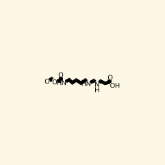 O=COC(=O)NCCCCCNCNCCC(=O)O